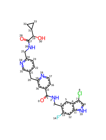 O=C(NCc1cc2c(Cl)c[nH]c2cc1F)c1ccnc(Cc2ccc(CNC(=O)C(O)C3CC3)nc2)c1